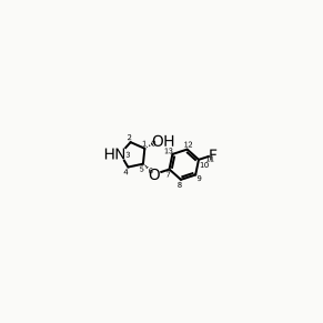 O[C@H]1CNC[C@H]1Oc1ccc(F)cc1